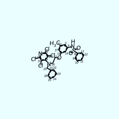 Cc1cc(NS(=O)(=O)c2ccccc2)cc(OCCN(Cc2ccccc2)c2c(Cl)c(Cl)nc(Cl)c2Cl)c1